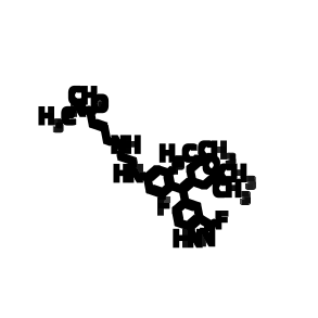 CN(C)C(=O)/C=C/CNCCNc1cc(F)c(C(=C2CC(C)(C)OC(C)(C)C2)c2ccc3[nH]nc(F)c3c2)c(F)c1